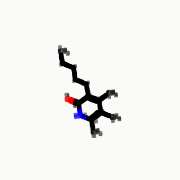 CCCCCc1c(C)c(C)c(C)[nH]c1=O